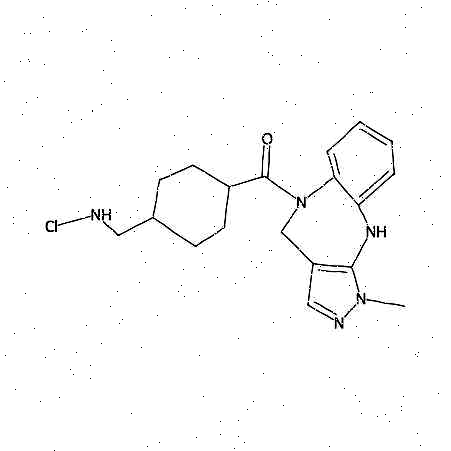 Cn1ncc2c1Nc1ccccc1N(C(=O)C1CCC(CNCl)CC1)C2